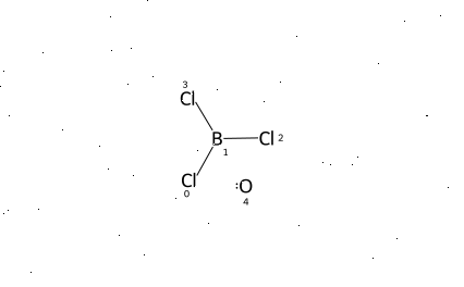 ClB(Cl)Cl.[O]